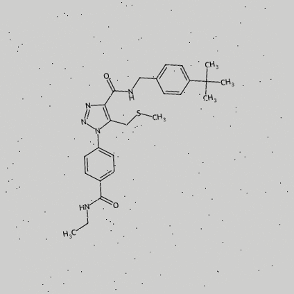 CCNC(=O)c1ccc(-n2nnc(C(=O)NCc3ccc(C(C)(C)C)cc3)c2CSC)cc1